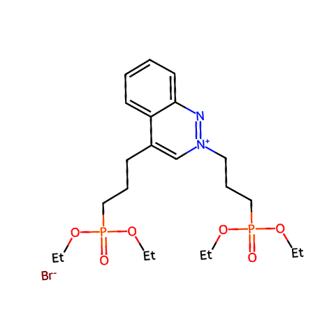 CCOP(=O)(CCCc1c[n+](CCCP(=O)(OCC)OCC)nc2ccccc12)OCC.[Br-]